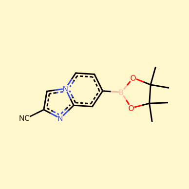 CC1(C)OB(c2ccn3cc(C#N)nc3c2)OC1(C)C